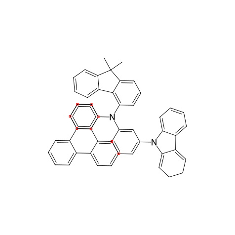 CC1(C)c2ccccc2-c2c(N(c3cccc(-n4c5c(c6ccccc64)=CCCC=5)c3)c3ccccc3-c3ccccc3-c3ccccc3-c3ccccc3)cccc21